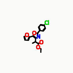 CCOC(=O)C(C)c1nc(-c2ccc(Cl)cc2)oc1-c1ccco1